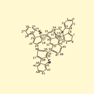 c1ccc2c(c1)-c1cccc(-c3c4cccc(-c5cccc6c5sc5ccccc56)c4cc4c(-c5cccc6c5sc5ccccc56)cccc34)c1C21CCCC1